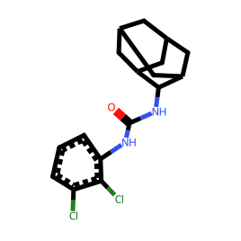 O=C(Nc1cccc(Cl)c1Cl)NC1C2CC3CC(C2)CC1C3